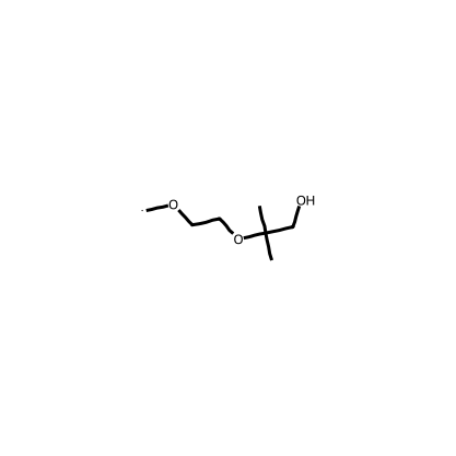 [CH2]OCCOC(C)(C)CO